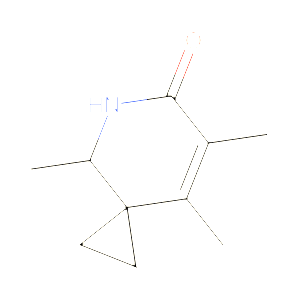 CC1=C(C)C2(CC2)C(C)NC1=O